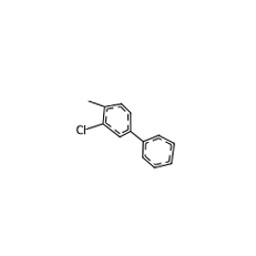 Cc1ccc(-c2ccccc2)cc1Cl